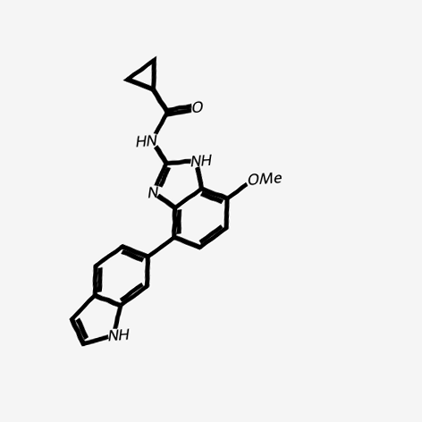 COc1ccc(-c2ccc3cc[nH]c3c2)c2nc(NC(=O)C3CC3)[nH]c12